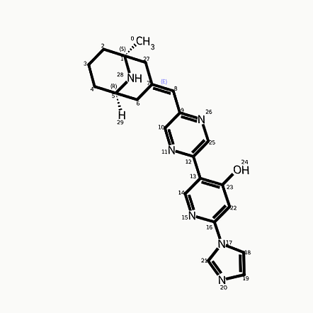 C[C@]12CCC[C@H](C/C(=C\c3cnc(-c4cnc(-n5ccnc5)cc4O)cn3)C1)N2